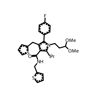 COC(CCn1c(-c2ccc(F)cc2)c(Cc2cccs2)c(C(=O)NCc2cccs2)c1C(C)C)OC